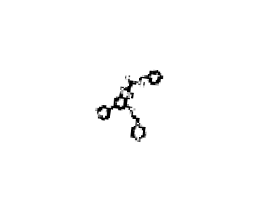 O=C(NCc1ccccc1)c1nc2c(OCCN3CCOCC3)cc(-c3ccncc3)cc2s1